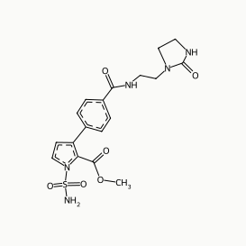 COC(=O)c1c(-c2ccc(C(=O)NCCN3CCNC3=O)cc2)ccn1S(N)(=O)=O